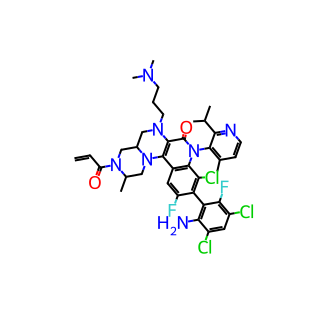 C=CC(=O)N1CC2CN(CCCN(C)C)c3c(c4cc(F)c(-c5c(N)c(Cl)cc(Cl)c5F)c(Cl)c4n(-c4c(C)ccnc4C(C)C)c3=O)N2CC1C